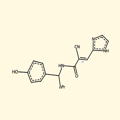 CCCC(NC(=O)/C(C#N)=C/c1ncc[nH]1)c1ccc(O)cc1